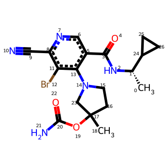 C[C@H](NC(=O)c1cnc(C#N)c(Br)c1N1CCC(C)(OC(N)=O)C1)C1CC1